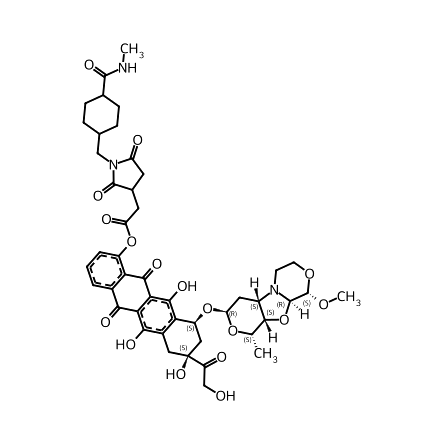 CNC(=O)C1CCC(CN2C(=O)CC(CC(=O)Oc3cccc4c3C(=O)c3c(O)c5c(c(O)c3C4=O)C[C@@](O)(C(=O)CO)C[C@@H]5O[C@H]3C[C@H]4[C@H](O[C@@H]5[C@@H](OC)OCCN54)[C@H](C)O3)C2=O)CC1